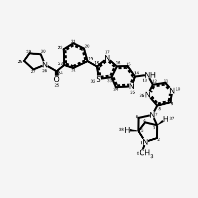 CN1C[C@@H]2C[C@H]1CN2c1cncc(Nc2cc3nc(-c4cccc(C(=O)N5CCCC5)c4)sc3cn2)n1